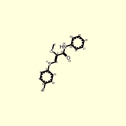 CSC(=CSc1ccc(F)cc1)C(=O)Nc1ccccc1